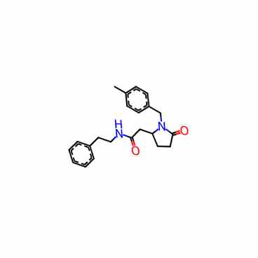 Cc1ccc(CN2C(=O)CCC2CC(=O)NCCc2ccccc2)cc1